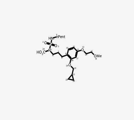 CCCCCNS(=O)(=O)N(CCCc1ccc(OCCOC)cc1OCC1CC1)C(=O)O